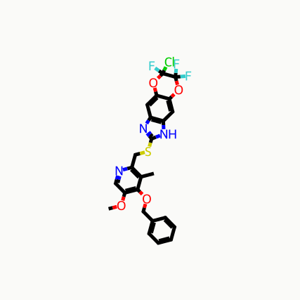 COc1cnc(CSc2nc3cc4c(cc3[nH]2)OC(F)(F)C(F)(Cl)O4)c(C)c1OCc1ccccc1